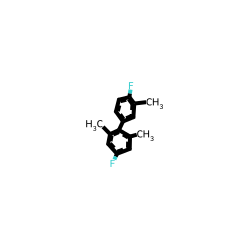 Cc1cc(-c2c(C)cc(F)cc2C)ccc1F